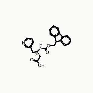 O=C(O)C[C@@H](Cc1cccnc1)NC(=O)OCC1c2ccccc2-c2ccccc21